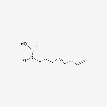 C=CCC=CCCCN(CC)C(C)O